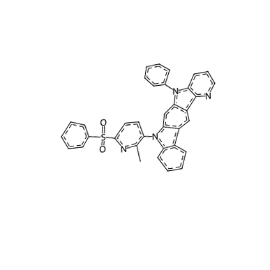 Cc1nc(S(=O)(=O)c2ccccc2)ccc1-n1c2ccccc2c2cc3c4ncccc4n(-c4ccccc4)c3cc21